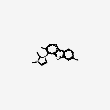 Cc1ccc2c(oc3cc(F)ccc32)c1N1C=CN(C)C1C